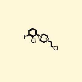 Fc1cccc(N2CCN(CCCl)CC2)c1Cl